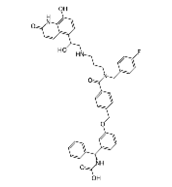 O=C(O)N[C@@H](c1ccccc1)c1cccc(OCc2ccc(C(=O)N(CCCNCC(O)c3ccc(O)c4[nH]c(=O)ccc34)Cc3ccc(F)cc3)cc2)c1